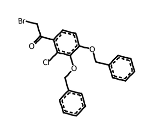 O=C(CBr)c1ccc(OCc2ccccc2)c(OCc2ccccc2)c1Cl